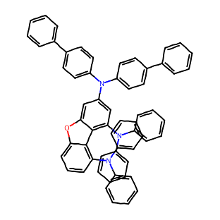 c1ccc(-c2ccc(N(c3ccc(-c4ccccc4)cc3)c3cc(N(c4ccccc4)c4ccccc4)c4c(c3)oc3cccc(N(c5ccccc5)c5ccccc5)c34)cc2)cc1